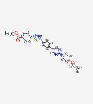 COC(=O)[C@H]1CC[C@H](c2nnc(-c3ccc(-c4cnc(N5CCC(OCC6CC6)CC5)nc4)cc3)s2)CC1